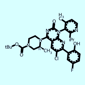 Cc1ccnc(C(C)C)c1-n1c(=O)nc(N2CCN(C(=O)OC(C)(C)C)C[C@@H]2C)c2cc(Cl)c(-c3cc(F)ccc3O)nc21